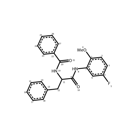 COc1ccc(F)cc1NC(=O)C(Cc1ccccc1)NC(=O)c1ccccc1